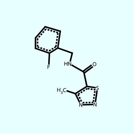 Cc1nnsc1C(=O)NCc1ccccc1F